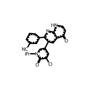 CC(C)n1cc(-c2cc3c(=O)cc[nH]c3nc2-c2cccc(C#N)c2)cc(Cl)c1=O